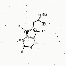 CCCCC(CC)Cn1c(I)c2c(c1I)OC(C)CO2